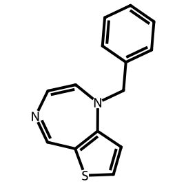 C1=CN(Cc2ccccc2)c2ccsc2C=N1